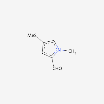 CSc1cc(C=O)n(C)c1